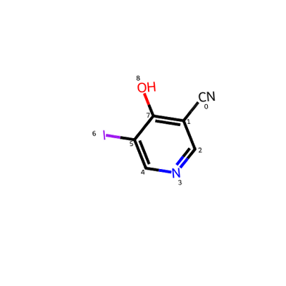 N#Cc1cncc(I)c1O